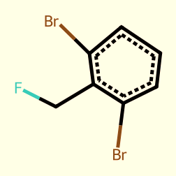 FCc1c(Br)cccc1Br